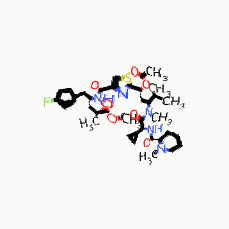 COC(=O)[C@@H](C)C[C@H](Cc1ccc(F)cc1)NC(=O)c1csc([C@@H](CC(C(C)C)N(C)C(=O)[C@@H](NC(=O)[C@H]2CCCCN2C)C2CC2)OC(C)=O)n1